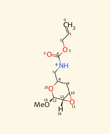 C=CCOC(=O)NCC1CC2O[C@@H]2[C@@H](OC)O1